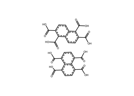 O=C(O)c1ccc(C(=O)O)c2c(C(=O)O)ccc(C(=O)O)c12.O=C(O)c1ccc2c(C(=O)O)c(C(=O)O)ccc2c1C(=O)O